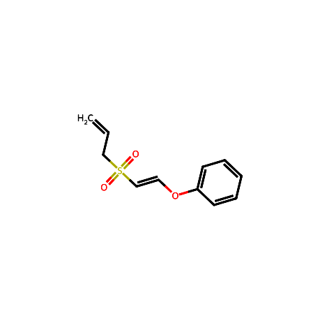 C=CCS(=O)(=O)/C=C/Oc1ccccc1